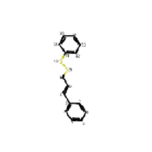 C(=C\c1ccccc1)/CSSc1ccccc1